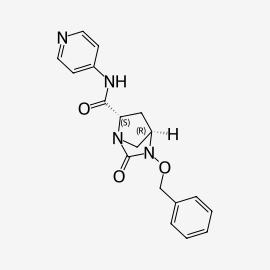 O=C(Nc1ccncc1)[C@@H]1C[C@@H]2CN1C(=O)N2OCc1ccccc1